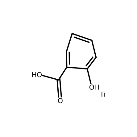 O=C(O)c1ccccc1O.[Ti]